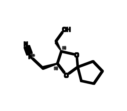 N#[N+]C[C@@H]1OC2(CCCC2)O[C@H]1CO